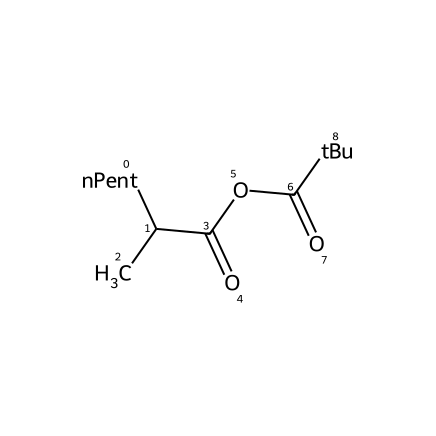 CCCCCC(C)C(=O)OC(=O)C(C)(C)C